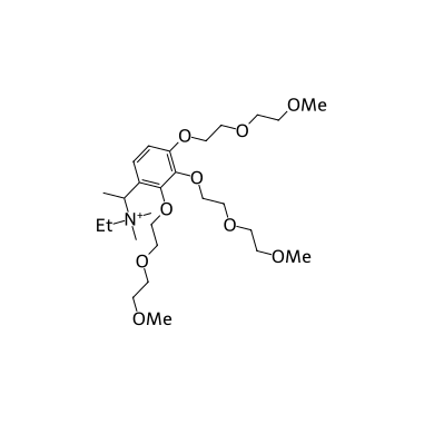 CC[N+](C)(C)C(C)c1ccc(OCCOCCOC)c(OCCOCCOC)c1OCCOCCOC